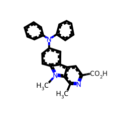 Cc1nc(C(=O)O)cc2c3cc(N(c4ccccc4)c4ccccc4)ccc3n(C)c12